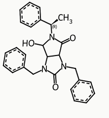 C[C@H](c1ccccc1)N1C(=O)C2C(C1O)N(Cc1ccccc1)C(=O)N2Cc1ccccc1